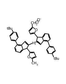 Cc1ccc(C2[C]([Hf+2][C]3=Cc4c(-c5ccc(C(C)(C)C)cc5)cccc4C3c3ccc(C)o3)=Cc3c(-c4ccc(C(C)(C)C)cc4)cccc32)o1.[Cl-].[Cl-]